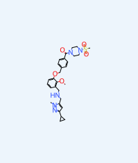 COc1c(CNCc2cc(C3CC3)nn2C)cccc1OCc1ccc(C(=O)N2CCN(S(C)(=O)=O)CC2)cc1